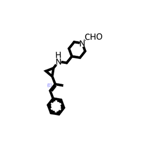 C/C(=C\c1ccccc1)C1CC1NCC1CCN(C=O)CC1